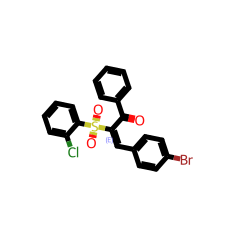 O=C(/C(=C\c1ccc(Br)cc1)S(=O)(=O)c1ccccc1Cl)c1ccccc1